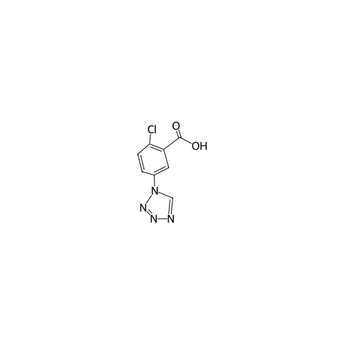 O=C(O)c1cc(-n2cnnn2)ccc1Cl